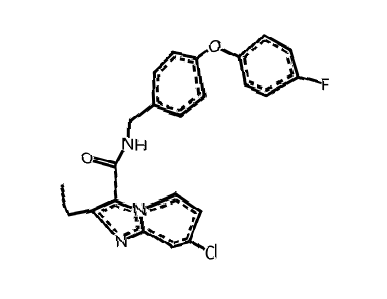 CCc1nc2cc(Cl)ccn2c1C(=O)NCc1ccc(Oc2ccc(F)cc2)cc1